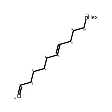 [CH]=CCCCCC=CCCCCCCCCC